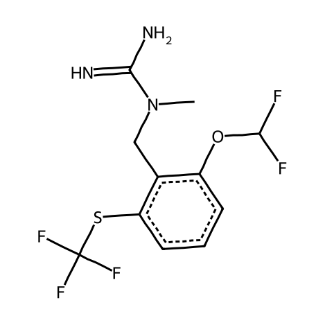 CN(Cc1c(OC(F)F)cccc1SC(F)(F)F)C(=N)N